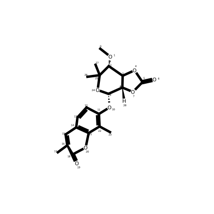 CO[C@@H]1C2OC(=O)O[C@@H]2[C@H](Oc2ccc3cc(C)c(=O)oc3c2C)OC1(C)C